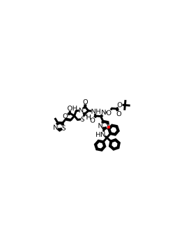 Cc1ncsc1C=CC1(C(=O)O)CS[C@@H]2C(NC(=O)C(=NOCC(=O)OC(C)(C)C)c3csc(NC(c4ccccc4)(c4ccccc4)c4ccccc4)n3)C(=O)N2C1